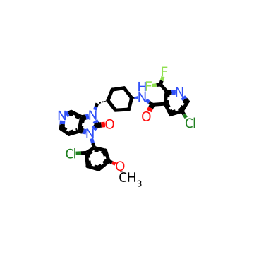 COc1ccc(Cl)c(-n2c(=O)n(C[C@H]3CC[C@H](NC(=O)c4cc(Cl)cnc4C(F)F)CC3)c3cnccc32)c1